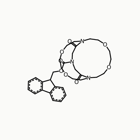 O=C1CN(C(=O)OCC2c3ccccc3-c3ccccc32)CC(=O)N2CCOCCOCCN1CCOCCOCC2